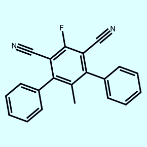 Cc1c(-c2ccccc2)c(C#N)c(F)c(C#N)c1-c1ccccc1